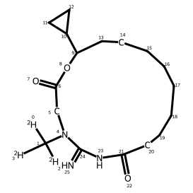 [2H]C([2H])([2H])N1CC(=O)OC(C2CC2)CCCCCCCCC(=O)NC1=N